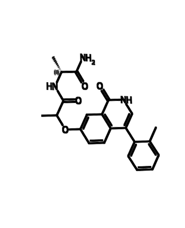 Cc1ccccc1-c1c[nH]c(=O)c2cc(OC(C)C(=O)N[C@H](C)C(N)=O)ccc12